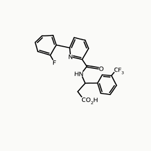 O=C(O)CC(NC(=O)c1cccc(-c2ccccc2F)n1)c1cccc(C(F)(F)F)c1